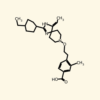 CC=C1NC(C2CCC(CC)CC2)=NC12CCN(OCCc1ccc(C(=O)O)cc1C)CC2